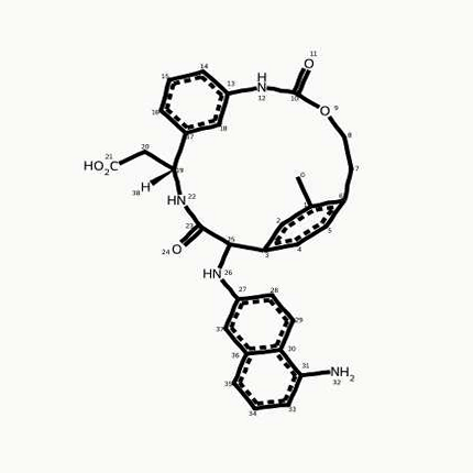 Cc1cc2ccc1CCOC(=O)Nc1cccc(c1)[C@@H](CC(=O)O)NC(=O)C2Nc1ccc2c(N)cccc2c1